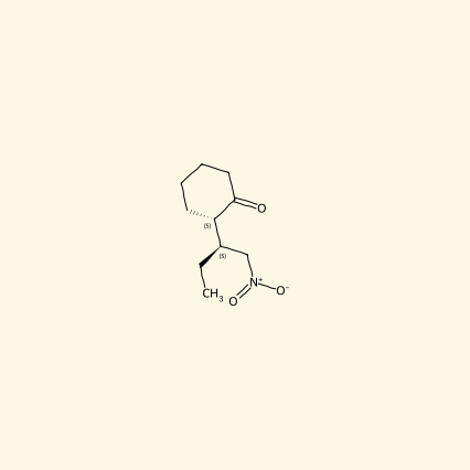 CC[C@H](C[N+](=O)[O-])[C@@H]1CCCCC1=O